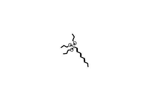 CC/C=C/C=C/C=C/[Si](OCCC)(OCCC)OCCC